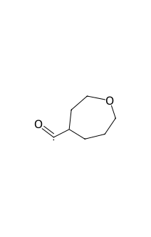 O=[C]C1CCCOCC1